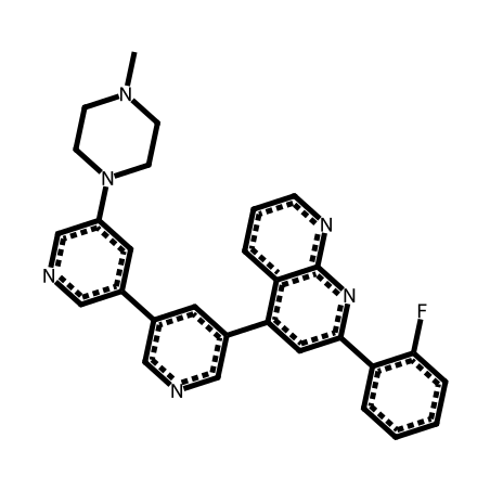 CN1CCN(c2cncc(-c3cncc(-c4cc(-c5ccccc5F)nc5ncccc45)c3)c2)CC1